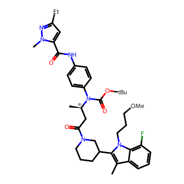 CCc1cc(C(=O)Nc2ccc(N(C(=O)OC(C)(C)C)[C@H](C)CC(=O)N3CCCC(c4c(C)c5cccc(F)c5n4CCCOC)C3)cc2)n(C)n1